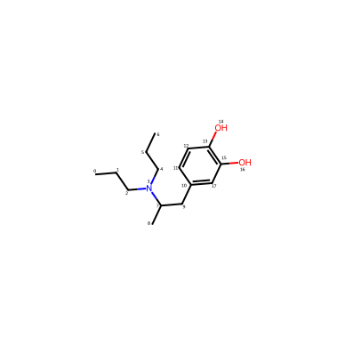 CCCN(CCC)C(C)Cc1ccc(O)c(O)c1